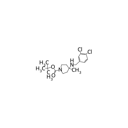 CC1(NCc2ccc(Cl)c(Cl)c2)CCN(C(=O)OC(C)(C)C)CC1